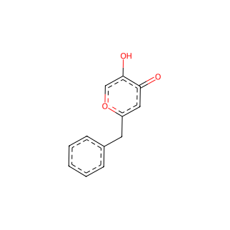 O=c1cc(Cc2ccccc2)occ1O